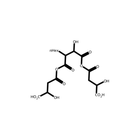 CCCCCCC(C(=O)OC(=O)CC(O)C(=O)O)C(O)C(=O)OC(=O)CC(O)C(=O)O